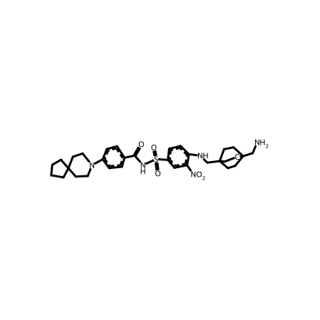 NCC12CCC(CNc3ccc(S(=O)(=O)NC(=O)c4ccc(N5CCC6(CCCC6)CC5)cc4)cc3[N+](=O)[O-])(CC1)CC2